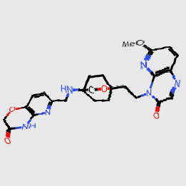 COc1ccc2ncc(=O)n(CCC34CCC(NCc5ccc6c(n5)NC(=O)CO6)(CC3)CO4)c2n1